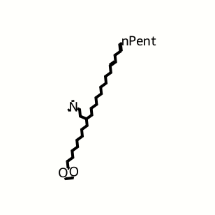 CCCCCC=CCC=CCCCCCCCCCC(CCCCCCCCC1OCCO1)CCN(C)C